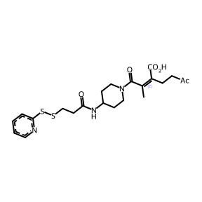 CC(=O)CC/C(C(=O)O)=C(\C)C(=O)N1CCC(NC(=O)CCSSc2ccccn2)CC1